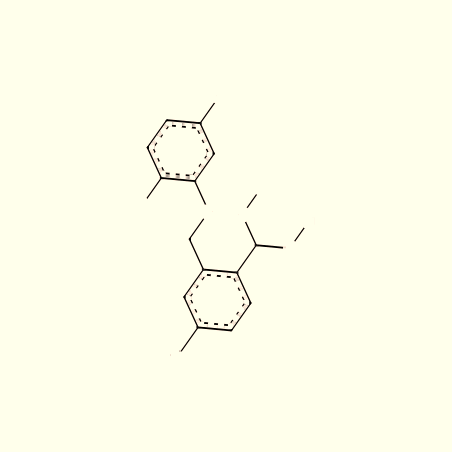 COC(OC)c1ccc(Cl)cc1COc1cc(C)ccc1C